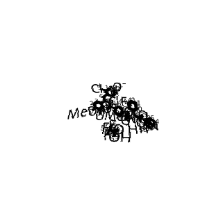 COc1ccc(C(Cc2c(Cl)c[n+]([O-])cc2Cl)OC(=O)c2ccc(S(=O)(=O)NC(C(=O)O[C@H]3CN4CCC3CC4)c3cccc(F)c3)cc2)cc1OC.O=C(O)C(F)(F)F